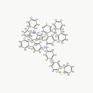 c1ccc(C2(c3ccc(N(c4ccc(-c5ccc6sc7ccccc7c6c5)cc4)c4ccc5c(c4)C4(c6ccccc6-5)c5ccccc5-n5c6ccccc6c6cccc4c65)cc3)c3ccccc3-c3ccccc32)cc1